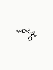 CN1CCN(C(=O)Cn2cnc(Br)c2-c2ccncc2)CC1